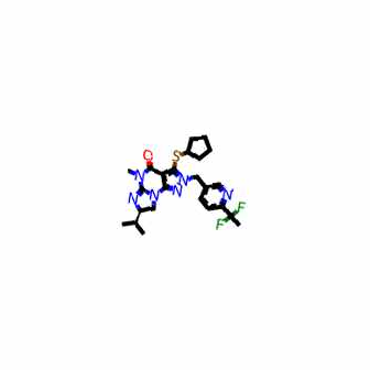 CC(C)[C@@H]1CN2C(=N1)N(C)C(=O)c1c2nn(Cc2ccc(C(C)(F)F)nc2)c1SC1CCCC1